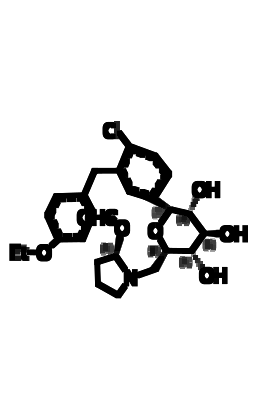 CCOc1ccc(Cc2cc([C@@H]3O[C@H](CN4CCC[C@H]4OC=O)[C@@H](O)[C@H](O)[C@H]3O)ccc2Cl)cc1